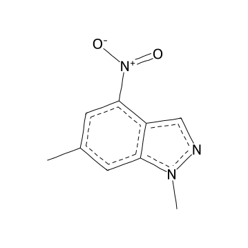 Cc1cc([N+](=O)[O-])c2cnn(C)c2c1